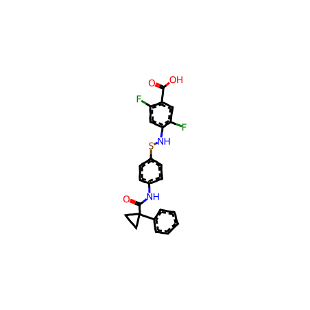 O=C(O)c1cc(F)c(NSc2ccc(NC(=O)C3(c4ccccc4)CC3)cc2)cc1F